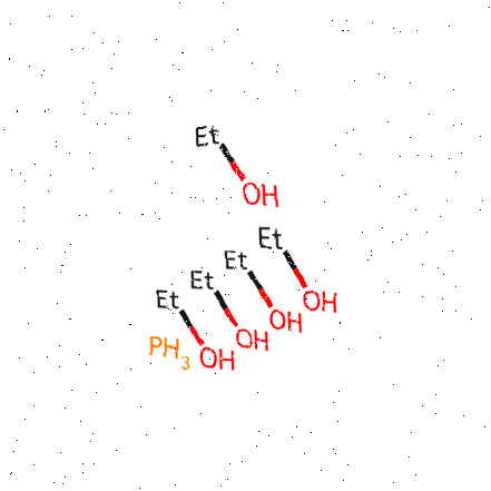 CCO.CCO.CCO.CCO.CCO.P